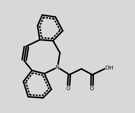 O=C(O)CC(=O)N1Cc2ccccc2C#Cc2ccccc21